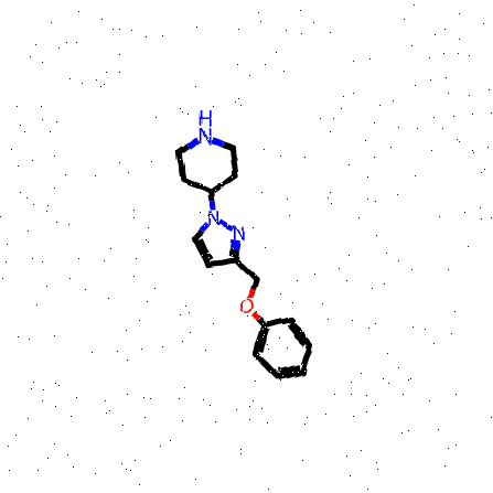 c1ccc(OCc2ccn(C3CCNCC3)n2)cc1